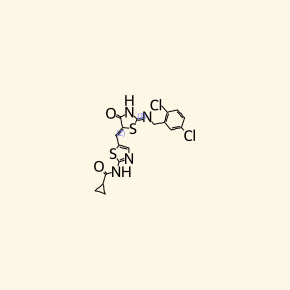 O=C1N/C(=N/Cc2cc(Cl)ccc2Cl)S/C1=C\c1cnc(NC(=O)C2CC2)s1